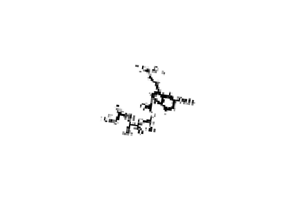 COc1ccc2c(c1)c(CCN(C)C)cn2C(=O)OC(OC(=O)C(NC(=O)OC(C)(C)C)C(C)C)C(C)C